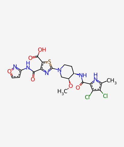 CO[C@H]1CN(c2nc(C(=O)Nc3ccon3)c(C(=O)O)s2)CC[C@H]1NC(=O)c1[nH]c(C)c(Cl)c1Cl